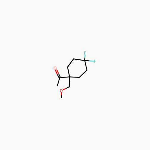 COCC1(C(C)=O)CCC(F)(F)CC1